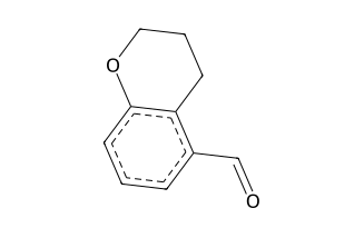 O=Cc1cccc2c1CCCO2